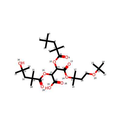 CC(C)(C)CC(C)(C)C(=O)OC(C(=O)OC(C)(C)CCOC(C)(C)C)C(OC(=O)C(C)(C)CC(C)(C)O)C(=O)O